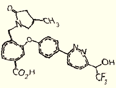 CC1CC(=O)N(Cc2ccc(C(=O)O)cc2Oc2ccc(-c3ccc(C(O)C(F)(F)F)nn3)cc2)C1